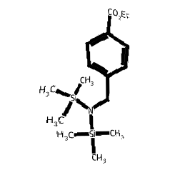 CCOC(=O)c1ccc(CN([Si](C)(C)C)[Si](C)(C)C)cc1